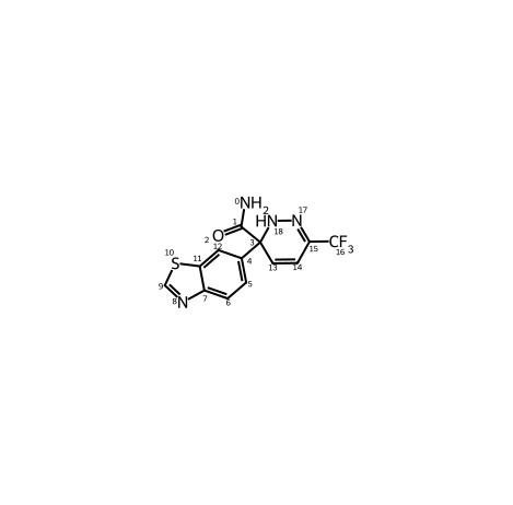 NC(=O)C1(c2ccc3ncsc3c2)C=CC(C(F)(F)F)=NN1